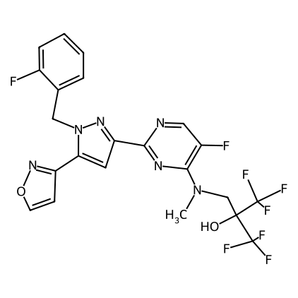 CN(CC(O)(C(F)(F)F)C(F)(F)F)c1nc(-c2cc(-c3ccon3)n(Cc3ccccc3F)n2)ncc1F